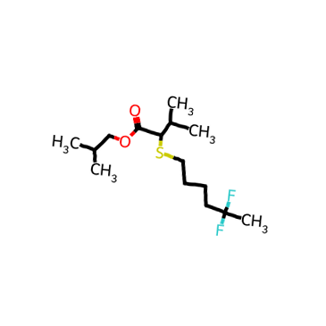 CC(C)COC(=O)C(SCCCCC(C)(F)F)C(C)C